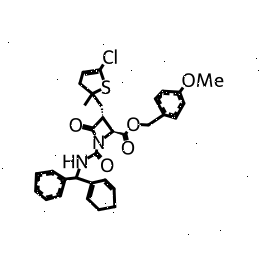 COc1ccc(COC(=O)[C@@H]2[C@@H](CC3(C)CC=C(Cl)S3)C(=O)N2C(=O)NC(C2=CCCC=C2)c2ccccc2)cc1